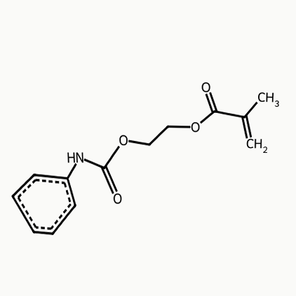 C=C(C)C(=O)OCCOC(=O)Nc1ccccc1